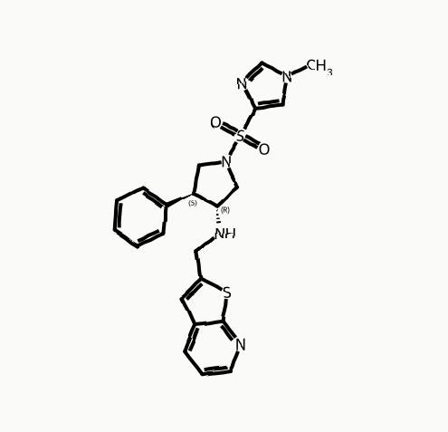 Cn1cnc(S(=O)(=O)N2C[C@H](NCc3cc4cccnc4s3)[C@@H](c3ccccc3)C2)c1